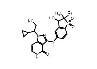 CC1(C)C(O)c2cc(Nc3nn(C(CC#N)C4CC4)c4cc[nH]c(=O)c34)ccc2S1(=O)=O